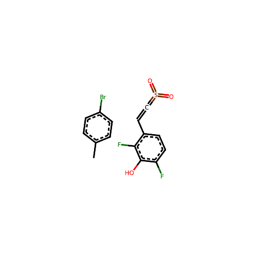 Cc1ccc(Br)cc1.O=S(=O)=C=Cc1ccc(F)c(O)c1F